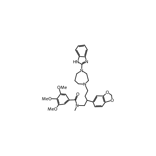 COc1cc(C(=O)N(C)CC(CCN2CCCN(c3nc4ccccc4[nH]3)CC2)c2ccc3c(c2)OCO3)cc(OC)c1OC